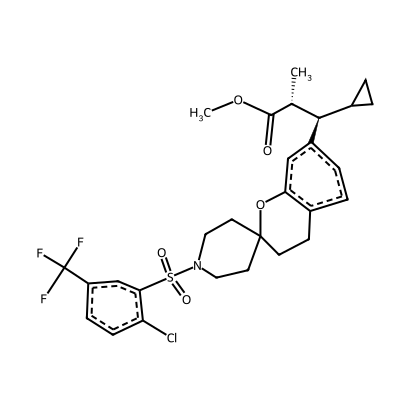 COC(=O)[C@H](C)[C@H](c1ccc2c(c1)OC1(CC2)CCN(S(=O)(=O)c2cc(C(F)(F)F)ccc2Cl)CC1)C1CC1